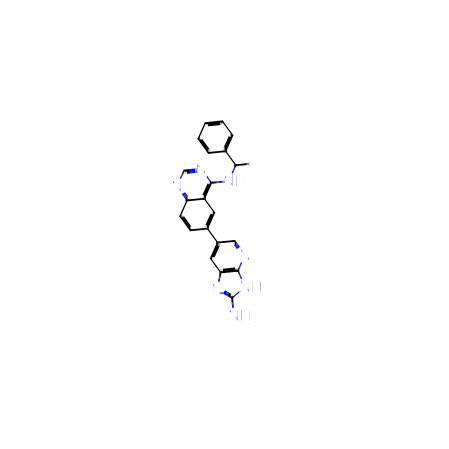 CC(Nc1ncnc2ccc(-c3cnc4[nH]c(N)nc4c3)cc12)c1ccccc1